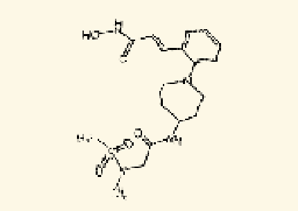 CN(CC(=O)NC1CCN(c2ccccc2C=CC(=O)NO)CC1)S(C)(=O)=O